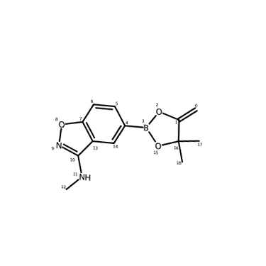 C=C1OB(c2ccc3onc(NC)c3c2)OC1(C)C